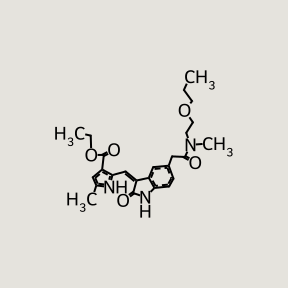 CCCOCCN(C)C(=O)Cc1ccc2c(c1)/C(=C/c1[nH]c(C)cc1C(=O)OCC)C(=O)N2